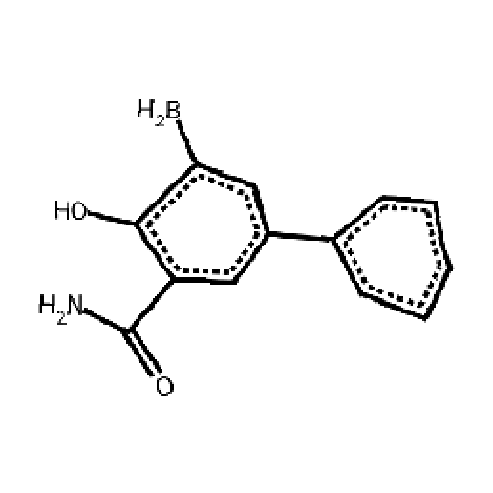 Bc1cc(-c2ccccc2)cc(C(N)=O)c1O